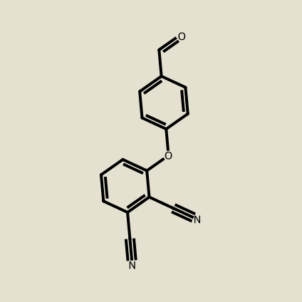 N#Cc1cccc(Oc2ccc(C=O)cc2)c1C#N